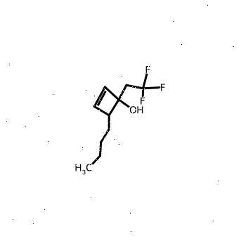 CCCCC1C=CC1(O)CC(F)(F)F